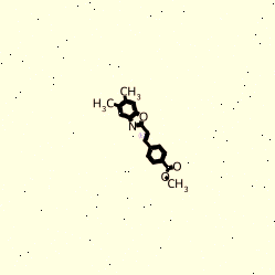 COC(=O)c1ccc(/C=C/c2nc3cc(C)c(C)cc3o2)cc1